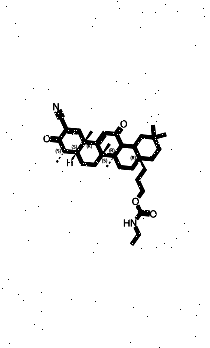 CCNC(=O)OCCC[C@]12CCC(C)(C)CC1C1C(=O)C=C3[C@@]4(C)C=C(C#N)C(=O)[C@@H](C)[C@@H]4CC[C@@]3(C)[C@]1(C)CC2